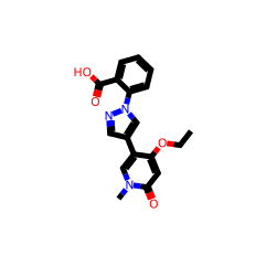 CCOc1cc(=O)n(C)cc1-c1cnn(-c2ccccc2C(=O)O)c1